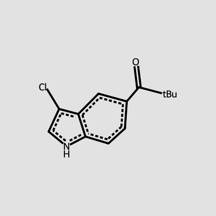 CC(C)(C)C(=O)c1ccc2[nH]cc(Cl)c2c1